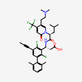 CC#Cc1cc(-c2c(C)cccc2C)c(F)c([C@@H](CC(=O)O)NC(=O)[C@H](CC(C)C)n2cc(CCN(C)C)c(C(F)(F)F)cc2=O)c1F